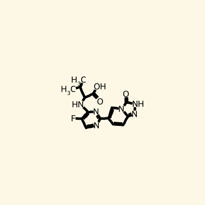 CC(C)C(Nc1nc(-c2ccc3n[nH]c(=O)n3c2)ncc1F)C(=O)O